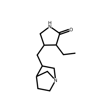 CCC1C(=O)NCC1CC1CN2CCC1C2